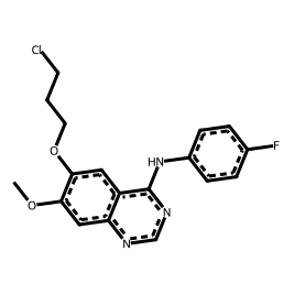 COc1cc2ncnc(Nc3ccc(F)cc3)c2cc1OCCCCl